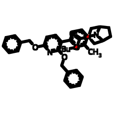 Cc1nc(-c2ccc(OCc3ccccc3)nc2OCc2ccccc2)ccc1N1C2CCC1CN(C(=O)OC(C)(C)C)C2